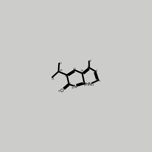 Cc1cc[nH]c2nc(=O)c(C(C)C)cc1-2